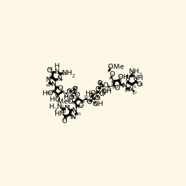 COCOC[C@@H]1[C@@H](COP(=O)(O)OP(=O)(O)OP(=O)(O)OC[C@H]2O[C@@H](n3cnc4c(=O)[nH]c(N)nc43)[C@H](OC)[C@@H]2OP(=O)(O)OC[C@H]2O[C@@H](n3cnc4c(=O)[nH]c(N)nc43)[C@H](O)[C@@H]2O)OC(n2c[n+](C)c3c(=O)[nH]c(N)nc32)[C@@H]1O